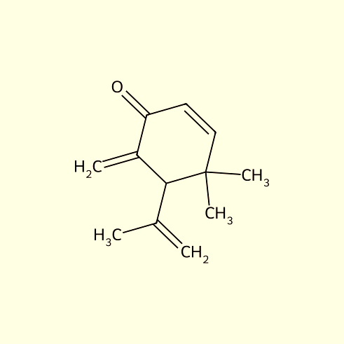 C=C(C)C1C(=C)C(=O)C=CC1(C)C